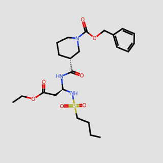 CCCCS(=O)(=O)N[C@@H](CC(=O)OCC)NC(=O)[C@@H]1CCCN(C(=O)OCc2ccccc2)C1